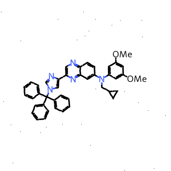 COc1cc(OC)cc(N(CC2CC2)c2ccc3ncc(-c4cn(C(c5ccccc5)(c5ccccc5)c5ccccc5)cn4)nc3c2)c1